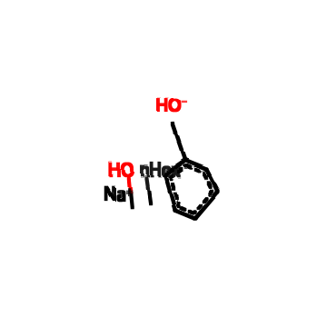 CCCCCCC.CO.Cc1ccccc1.[Na+].[OH-]